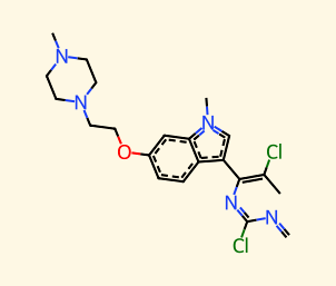 C=N/C(Cl)=N\C(=C(/C)Cl)c1cn(C)c2cc(OCCN3CCN(C)CC3)ccc12